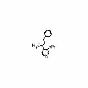 CCCc1cnccc1C(C)CCc1ccccc1